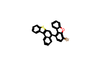 Brc1ccc(-c2cc3sc4ccccc4c3c3ccccc23)c2c1oc1ccccc12